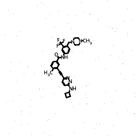 Cc1ccc(C(=O)Nc2ccc(CN3CCN(C)CC3)c(C(F)(F)F)c2)cc1C#Cc1ccc(NC2CCC2)nn1